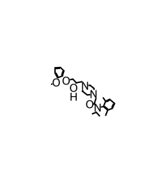 COc1ccccc1OCC(O)CN1CCN(CC(=O)N(c2c(C)cccc2C)C(C)C)CC1